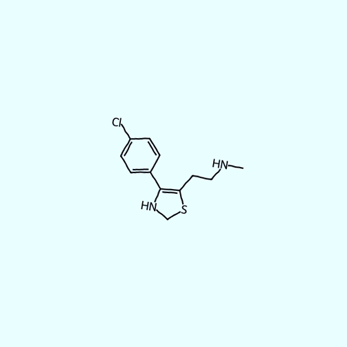 CNCCC1=C(c2ccc(Cl)cc2)NCS1